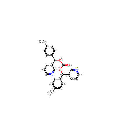 O=C(OC(c1ccc([N+](=O)[O-])cc1)c1cccnc1)OC(c1ccc([N+](=O)[O-])cc1)c1cccnc1